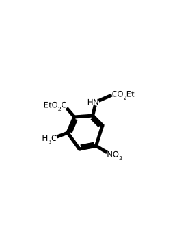 CCOC(=O)Nc1cc([N+](=O)[O-])cc(C)c1C(=O)OCC